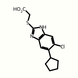 O=C(O)CSc1nc2cc(C3CCCC3)c(Cl)cc2[nH]1